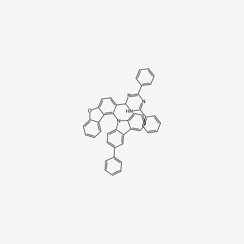 c1ccc(C2=NC(c3ccc4oc5ccccc5c4c3-n3c4ccccc4c4cc(-c5ccccc5)ccc43)NC(c3ccccc3)=N2)cc1